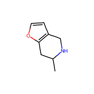 CC1Cc2occc2CN1